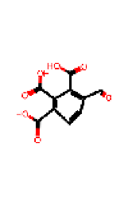 O=[C]c1ccc(C(=O)O)c(C(=O)O)c1C(=O)O